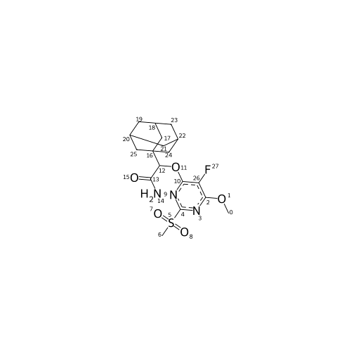 COc1nc(S(C)(=O)=O)nc(OC(C(N)=O)C23CC4CC(CC(C4)C2)C3)c1F